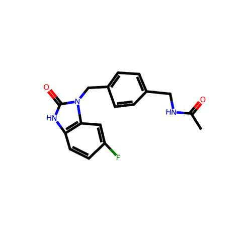 CC(=O)NCc1ccc(Cn2c(=O)[nH]c3ccc(F)cc32)cc1